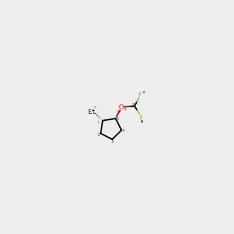 CC[C@H]1CCC[C@@H]1OC(F)F